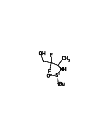 CC(N[S@@+]([O-])C(C)(C)C)C(F)(F)CO